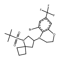 CC(C)(C)S(=O)(=O)N1CC(N2CCOc3cc(C(F)(F)F)cc(Br)c32)CC12CCC2